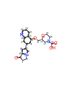 O=C1CCn2cc(-c3cc(OC[C@@H]4CN(C(=O)O)CCO4)c4cccnc4c3)cc21